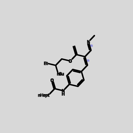 C=C(OCC(CC)CCCC)C(=C\c1ccc(NC(=O)CCCCCCC)cc1)/C=N/C